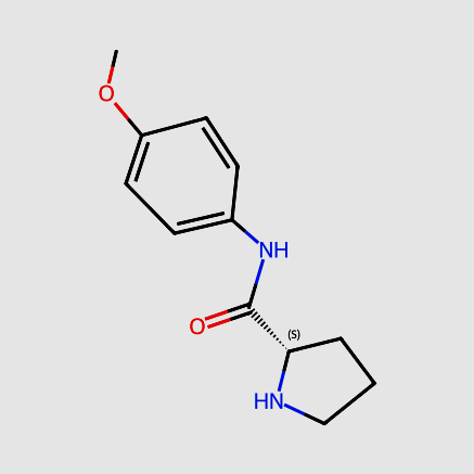 COc1ccc(NC(=O)[C@@H]2CCCN2)cc1